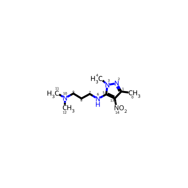 Cc1nn(C)c(NCCCN(C)C)c1[N+](=O)[O-]